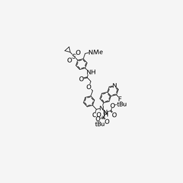 CNCc1cc(NC(=O)COCc2cccc(C(C(=O)O)N(c3ccc4cncc(F)c4c3)N(C(=O)OC(C)(C)C)C(=O)OC(C)(C)C)c2)ccc1S(=O)(=O)C1CC1